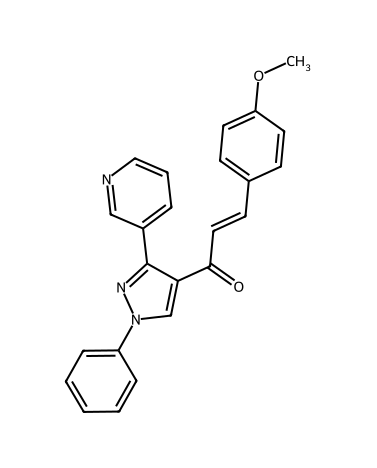 COc1ccc(C=CC(=O)c2cn(-c3ccccc3)nc2-c2cccnc2)cc1